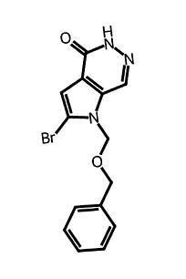 O=c1[nH]ncc2c1cc(Br)n2COCc1ccccc1